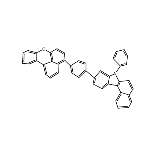 c1ccc(-n2c3cc(-c4ccc(-c5ccc6c7c(cccc57)-c5ccccc5O6)cc4)ccc3c3c4ccccc4ccc32)cc1